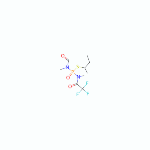 CCC(C)SP(=O)(N(C)C=O)N(C)C(=O)C(F)(F)F